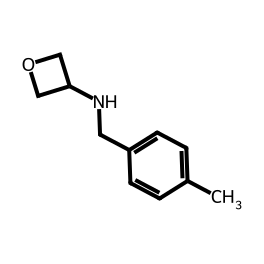 Cc1ccc(CNC2COC2)cc1